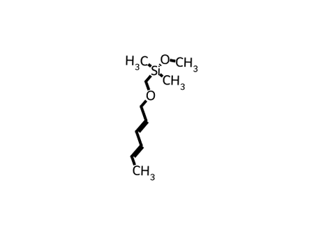 CC=CC=CCOC[Si](C)(C)OC